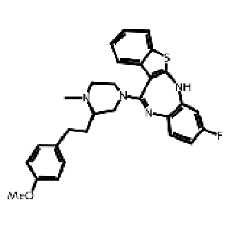 COc1ccc(CCC2CN(C3=Nc4ccc(F)cc4Nc4sc5ccccc5c43)CCN2C)cc1